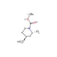 CC[C@@H]1C[C@@H](C(=O)O)CCN1C(=O)OC(C)(C)C